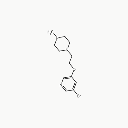 CN1CCN(CCOc2cncc(Br)c2)CC1